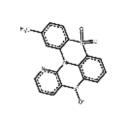 Cc1ccc2c(c1)N1c3ncccc3[S+]([O-])c3cccc(c31)S2(=O)=O